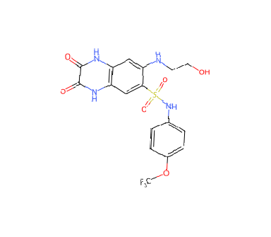 O=c1[nH]c2cc(NCCO)c(S(=O)(=O)Nc3ccc(OC(F)(F)F)cc3)cc2[nH]c1=O